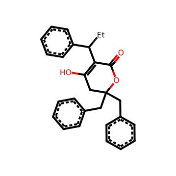 CCC(C1=C(O)CC(Cc2ccccc2)(Cc2ccccc2)OC1=O)c1ccccc1